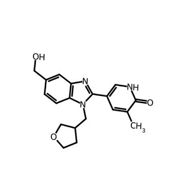 Cc1cc(-c2nc3cc(CO)ccc3n2CC2CCOC2)c[nH]c1=O